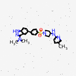 Cc1ccc(NC2CCN(S(=O)(=O)c3ccc(-c4ccc5[nH]nc(N(C)C)c5c4)cc3)CC2)nc1